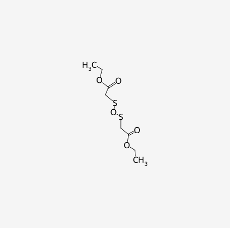 CCOC(=O)CSOSCC(=O)OCC